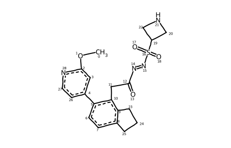 COc1cc(-c2ccc3c(c2CC(=O)N=NS(=O)(=O)C2CNC2)CCC3)ccn1